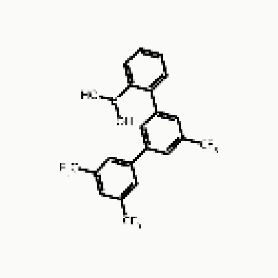 OB(O)c1ccccc1-c1cc(-c2cc(C(F)(F)F)cc(C(F)(F)F)c2)cc(C(F)(F)F)c1